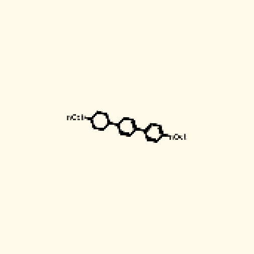 CCCCCCCCc1ccc(C2=CCC(C3CCC(CCCCCCCC)CC3)C=C2)cc1